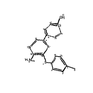 Cc1ccc(Sc2nc(-c3ccc(O)cc3)cnc2N)cc1